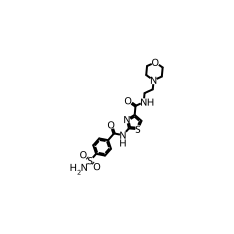 NS(=O)(=O)c1ccc(C(=O)Nc2nc(C(=O)NCCN3CCOCC3)cs2)cc1